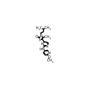 COc1ccc(Nc2nccc(-c3sc(=O)n(CCC(C)C)c3C)n2)cn1